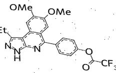 CCc1n[nH]c2nc(-c3ccc(OC(=O)C(F)(F)F)cc3)c3cc(OC)c(OC)cc3c12